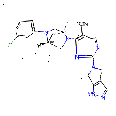 N#Cc1cnc(N2Cc3cn[nH]c3C2)nc1N1C[C@H]2C[C@H]1CN2c1cccc(F)c1